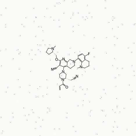 C=CC(=O)N1CCN(c2c(C#N)c(OC[C@@H]3CCCN3C)nc3c2CCN(c2ccc(F)c4c2N(C)CCC4)C3)C[C@@H]1CC#N